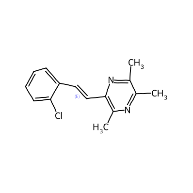 Cc1nc(C)c(/C=C/c2ccccc2Cl)nc1C